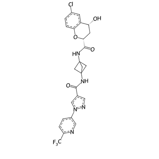 O=C(NC12CC(NC(=O)[C@H]3C[C@@H](O)c4cc(Cl)ccc4O3)(C1)C2)c1cnn(-c2ccc(C(F)(F)F)nc2)c1